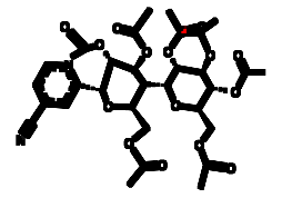 CC(=O)OC[C@H]1O[C@H](c2cc(C#N)ccn2)[C@H](OC(C)=O)[C@@H](OC(C)=O)C1[C@H]1O[C@H](COC(C)=O)[C@@H](OC(C)=O)[C@H](OC(C)=O)[C@H]1OC(C)=O